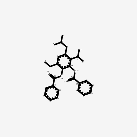 CCc1cc(CC(C)C)c(C(C)C)c(OC(=O)c2ccccc2)c1OC(=O)c1ccccc1